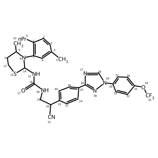 CCCc1ccc(C)cc1N1C(C)CCSC1NC(=O)NCC(C#N)c1ccc(-c2ncn(-c3ccc(OC(F)(F)F)cc3)n2)cc1